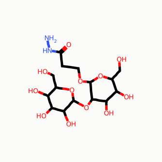 NNC(=O)CCOC1OC(CO)C(O)C(O)C1OC1OC(CO)C(O)C(O)C1O